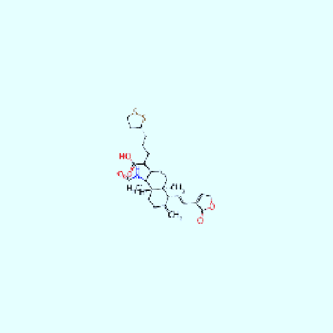 C=C1CC[C@H]2[C@@](C)(CC[C@H](C(CCC[C@@H]3CCSS3)C(=O)O)[C@]2(C)NC=O)[C@@H]1/C=C/C1=CCOC1=O